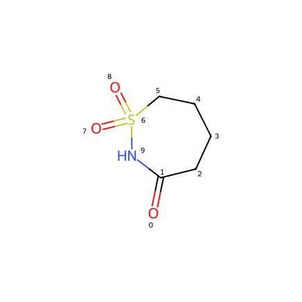 O=C1CCCCS(=O)(=O)N1